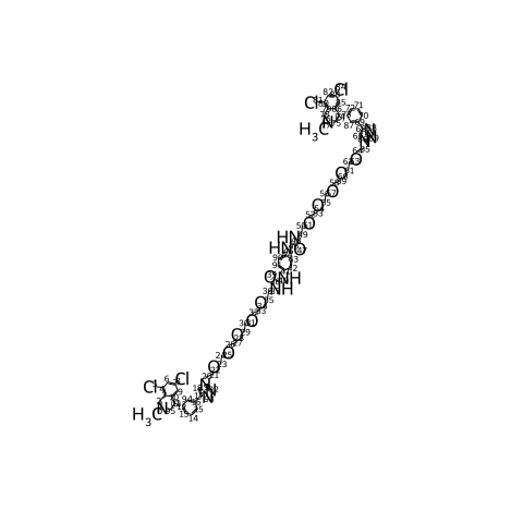 CN1Cc2c(Cl)cc(Cl)cc2[C@H](c2cccc(-c3cn(CCOCCOCCOCCOCCOCCNC(=O)Nc4ccc(NC(=O)NCCOCCOCCOCCOCCOCCn5cc(-c6cccc([C@@H]7CN(C)Cc8c(Cl)cc(Cl)cc87)c6)nn5)cc4)nn3)c2)C1